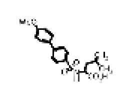 C=C(C)CC(NS(=O)(=O)c1ccc(-c2ccc(OC)cc2)cc1)C(=O)O